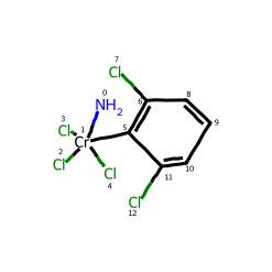 [NH2][Cr]([Cl])([Cl])([Cl])[c]1c(Cl)cccc1Cl